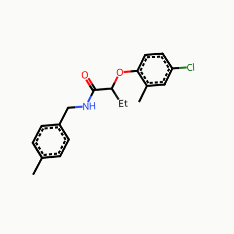 CCC(Oc1ccc(Cl)cc1C)C(=O)NCc1ccc(C)cc1